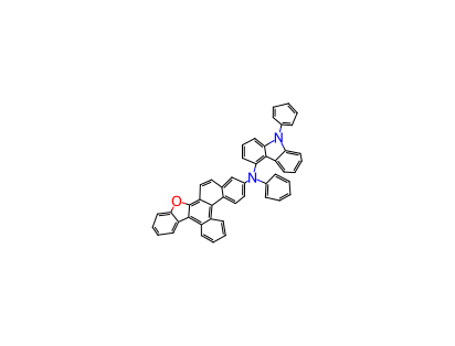 c1ccc(N(c2ccc3c(ccc4c5oc6ccccc6c5c5ccccc5c34)c2)c2cccc3c2c2ccccc2n3-c2ccccc2)cc1